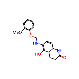 COc1ccccc1OCNC1=C(O)C2CCC(=O)NC2C=C1